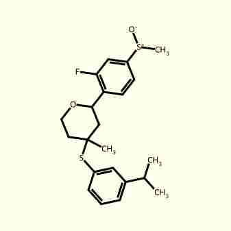 CC(C)c1cccc(SC2(C)CCOC(c3ccc([S+](C)[O-])cc3F)C2)c1